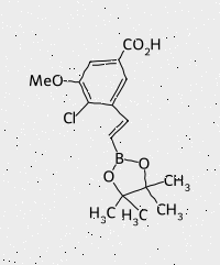 COc1cc(C(=O)O)cc(C=CB2OC(C)(C)C(C)(C)O2)c1Cl